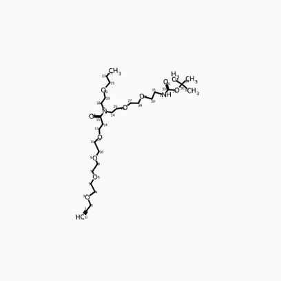 C#CCOCCOCCOCCOCCC(=O)N(CCOCCC)CCOCCOCCNC(=O)OC(C)(C)C